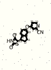 N#Cc1cc(Oc2ccc3c(c2)CC[C@H]3C2SC(=O)NC2=O)ccn1